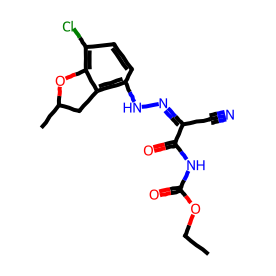 CCOC(=O)NC(=O)C(C#N)=NNc1ccc(Cl)c2c1CC(C)O2